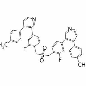 Cc1ccc(-c2ccncc2-c2ccc(CS(=O)(=O)Cc3ccc(-c4cnccc4-c4ccc(C)cc4)cc3F)c(F)c2)cc1